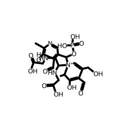 Cc1ncc(C(OP(=O)(O)O)[N+]2(C(CNCC(=O)O)NCC(=O)O)C=C(CO)C(C=O)=C(O)C2C)c(C=O)c1O